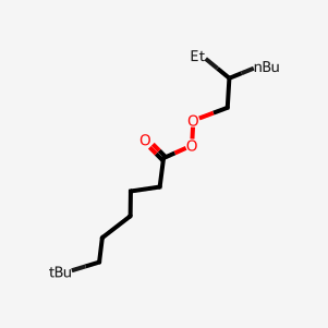 CCCCC(CC)COOC(=O)CCCCCC(C)(C)C